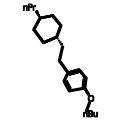 CCCCOc1ccc(CC[C@H]2CC[C@H](CCC)CC2)cc1